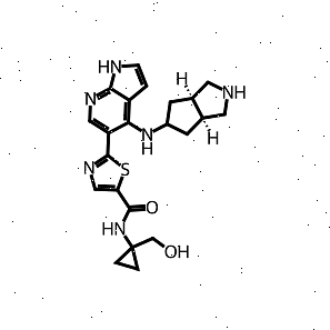 O=C(NC1(CO)CC1)c1cnc(-c2cnc3[nH]ccc3c2NC2C[C@H]3CNC[C@H]3C2)s1